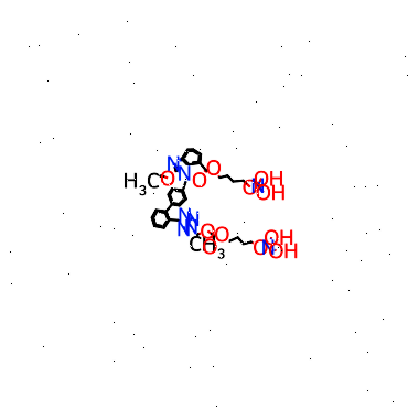 CCOc1nc2cccc(C(=O)OCCCCON(O)O)c2n1Cc1ccc(-c2ccccc2-c2nnn(C(C)OC(=O)OCCCCON(O)O)n2)cc1